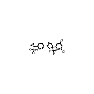 O=S(=O)(O)C1(c2ccc(C3=NOC(c4cc(Cl)cc(Cl)c4)(C(F)(F)F)C3)cc2)CC1